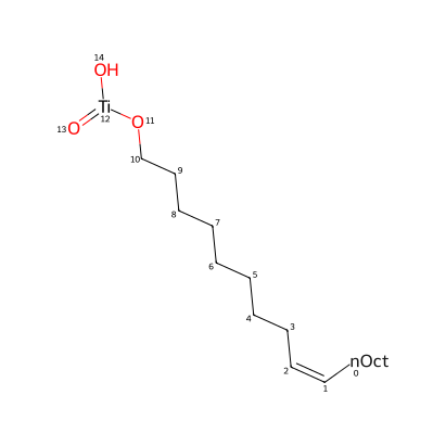 CCCCCCCC/C=C\CCCCCCCC[O][Ti](=[O])[OH]